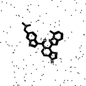 Cc1cccc2cc(C3c4nc[nH]c4CCN3C(=O)c3cnn4cc(CN(C)C)ccc34)nn12